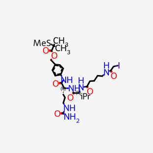 CSC(C)(C)C(=O)OCc1ccc(NC(=O)[C@@H](CCCNC(N)=O)NC(=O)[C@H](NC(=O)CCCCNC(=O)CI)C(C)C)cc1